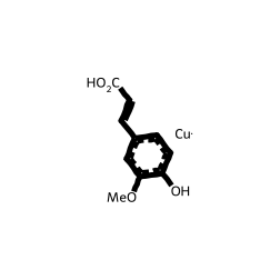 COc1cc(C=CC(=O)O)ccc1O.[Cu]